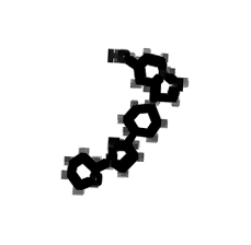 Oc1ccn2ncc([C@H]3CC[C@H](c4ccn(C5CCCCO5)n4)CC3)c2c1